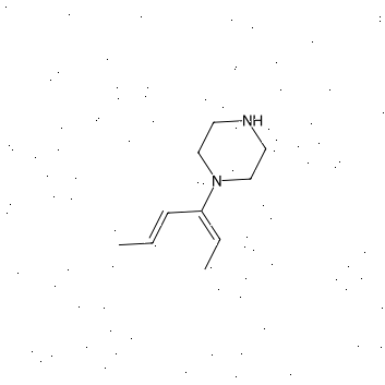 CC=CC(=CC)N1CCNCC1